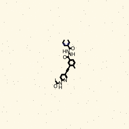 C/C=C\C(=C/C)C(=O)NNC(=O)c1ccc(C)c(C#Cc2ccc(NC(=O)I)nc2)c1